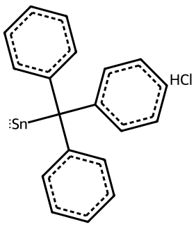 Cl.[Sn][C](c1ccccc1)(c1ccccc1)c1ccccc1